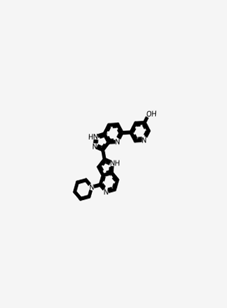 Oc1cncc(-c2ccc3[nH]nc(-c4cc5c(N6CCCCC6)nccc5[nH]4)c3n2)c1